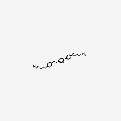 CCCCOc1ccc(-c2ccc(CCC3CCC(CCCC)CC3)cn2)cc1